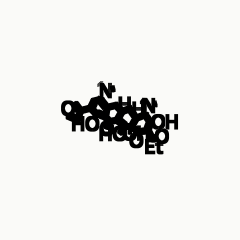 CCC(=O)C1=C(O)C(N(C)C)[C@H]2C[C@H]3Cc4c(N(C)C)cc(-c5ccoc5)c(O)c4C(=O)C3=C(O)[C@@]2(O)C1=O